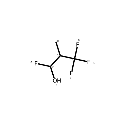 CC(C(O)F)C(F)(F)F